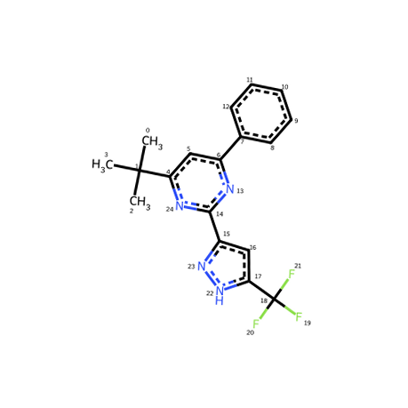 CC(C)(C)c1cc(-c2ccccc2)nc(-c2cc(C(F)(F)F)[nH]n2)n1